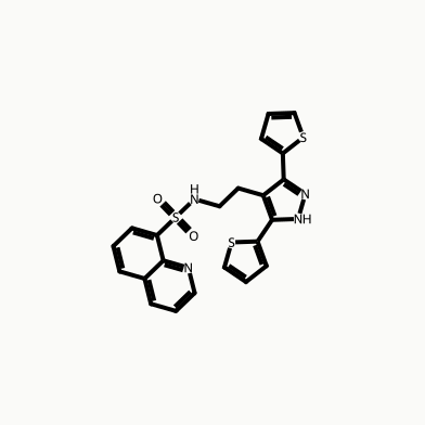 O=S(=O)(NCCc1c(-c2cccs2)n[nH]c1-c1cccs1)c1cccc2cccnc12